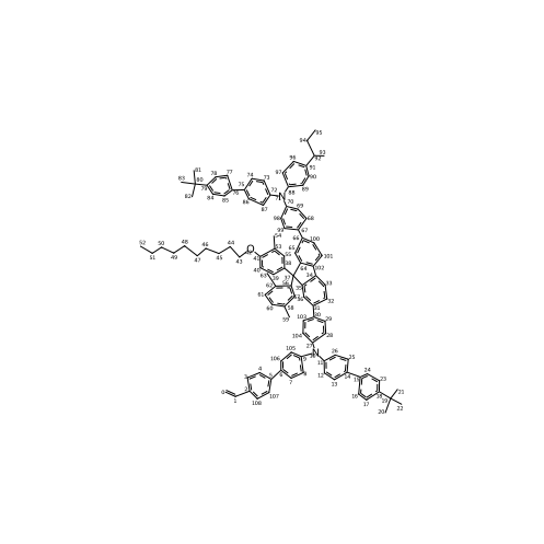 C=Cc1ccc(-c2ccc(N(c3ccc(-c4ccc(C(C)(C)C)cc4)cc3)c3ccc(-c4ccc5c(c4)C(c4ccc(OCCCCCCCCCC)c(C)c4)(c4cc(C)ccc4C)c4cc(-c6ccc(N(c7ccc(-c8ccc(C(C)(C)C)cc8)cc7)c7ccc(C(C)CC)cc7)cc6)ccc4-5)cc3)cc2)cc1